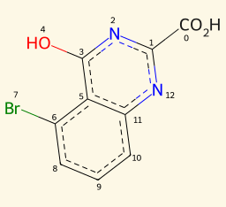 O=C(O)c1nc(O)c2c(Br)cccc2n1